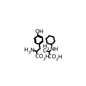 CC(NC1CCCCC1)C(=O)O.NC(Cc1ccc(O)cc1)C(=O)O